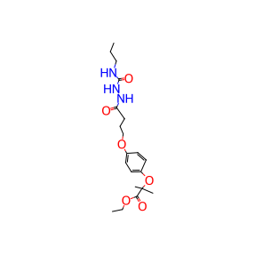 CCCNC(=O)NNC(=O)CCCOc1ccc(OC(C)(C)C(=O)OCC)cc1